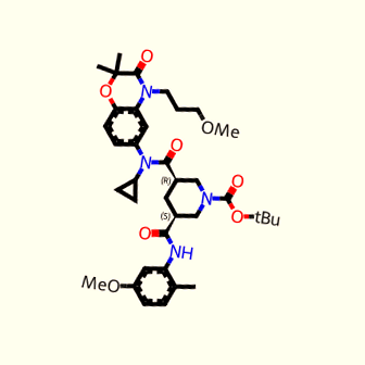 COCCCN1C(=O)C(C)(C)Oc2ccc(N(C(=O)[C@@H]3C[C@H](C(=O)Nc4cc(OC)ccc4C)CN(C(=O)OC(C)(C)C)C3)C3CC3)cc21